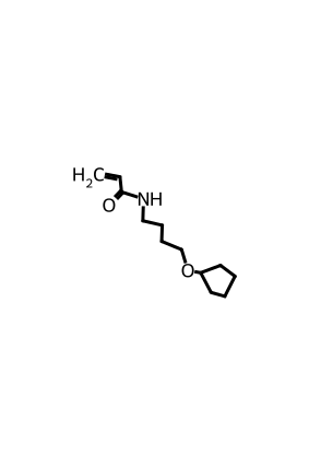 C=CC(=O)NCCCCOC1CCCC1